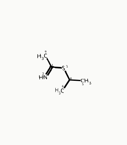 CC(=N)SC(C)C